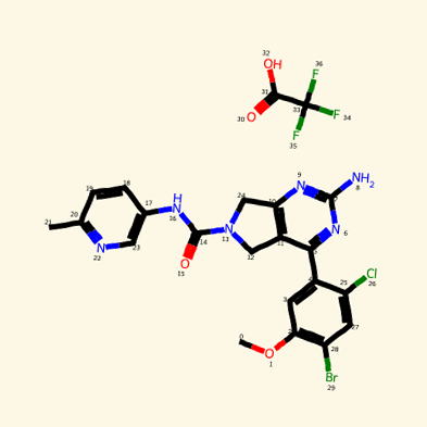 COc1cc(-c2nc(N)nc3c2CN(C(=O)Nc2ccc(C)nc2)C3)c(Cl)cc1Br.O=C(O)C(F)(F)F